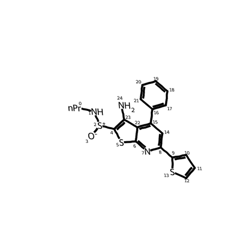 CCCN[S+]([O-])c1sc2nc(-c3cccs3)cc(-c3ccccc3)c2c1N